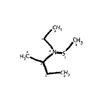 CCC(C)N(CC)SC